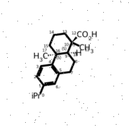 CC(C)c1ccc2c(c1)CC[C@@H]1[C@](C)(C(=O)O)CCC[C@]21C